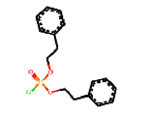 O=P(Cl)(OCCc1ccccc1)OCCc1ccccc1